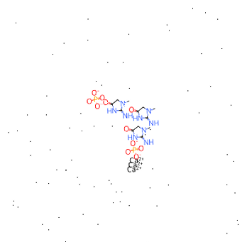 CN1CC(=O)NC1=N.CN1CC(=O)NC1=N.CN1CC(=O)NC1=N.O=P([O-])([O-])[O-].O=P([O-])([O-])[O-].[Ca+2].[Ca+2].[Ca+2]